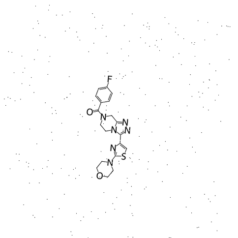 O=C(c1ccc(F)cc1)N1CCn2c(nnc2-c2csc(N3CCOCC3)n2)C1